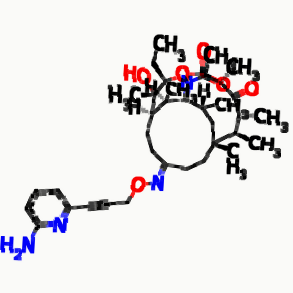 CC[C@H]1OC(=O)[C@H](C)C(=O)[C@H](C)[C@@H](C)[C@]2(C)CC/C(=N/OCC#Cc3cccc(N)n3)CC[C@H]([C@@H](C)/C(=N/C(C)=O)[C@H](C)C2)[C@]1(C)O